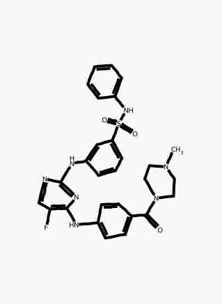 CN1CCN(C(=O)c2ccc(Nc3nc(Nc4cccc(S(=O)(=O)Nc5ccccc5)c4)ncc3F)cc2)CC1